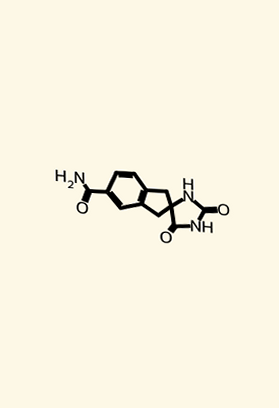 NC(=O)c1ccc2c(c1)CC1(C2)NC(=O)NC1=O